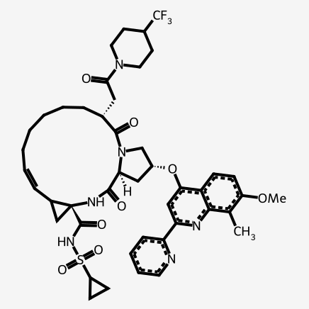 COc1ccc2c(O[C@@H]3C[C@H]4C(=O)N[C@]5(C(=O)NS(=O)(=O)C6CC6)CC5C=CCCCCC[C@H](CC(=O)N5CCC(C(F)(F)F)CC5)C(=O)N4C3)cc(-c3ccccn3)nc2c1C